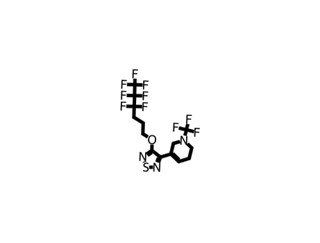 FC(F)(F)N1CCC=C(c2nsnc2OCCCC(F)(F)C(F)(F)C(F)(F)F)C1